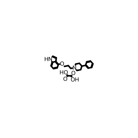 O=C(O)C(=O)O.c1ccc(C2CCN(CCCOc3cccc4[nH]ccc34)CC2)cc1